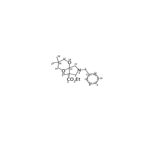 CCOC(=O)C1(C)CN(Cc2ccccc2)CC12OCC(C)(C)CO2